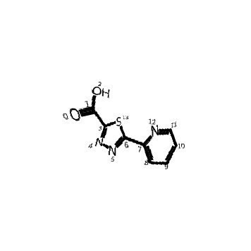 O=C(O)c1nnc(-c2ccccn2)s1